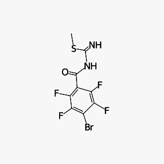 CSC(=N)NC(=O)c1c(F)c(F)c(Br)c(F)c1F